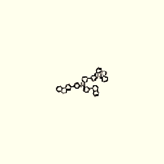 c1cc(-c2ccc3c(c2)c2cccc4c2n3-c2ccccc2O4)cc(N(c2ccc(-c3ccc4c(ccc5ccccc54)c3)cc2)c2cccc(-c3cccc4ccccc34)c2)c1